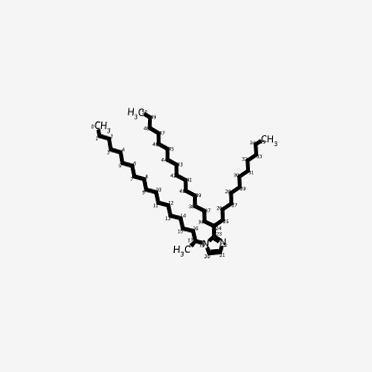 CCCCCCCCCCCCCCCCCC(C)n1ccnc1C(CCCCCCCCCCC)CCCCCCCCCCCCCCC